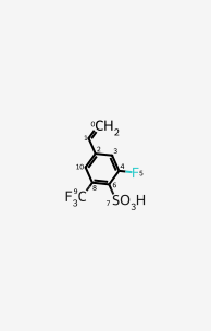 C=Cc1cc(F)c(S(=O)(=O)O)c(C(F)(F)F)c1